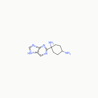 NC1CCC(N)(c2ncc3[nH]cnc3n2)CC1